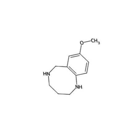 COc1ccc2c(c1)CNCCCN2